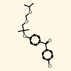 CC(C)OCOCC(C)(C)Oc1ccc(C(=O)c2ccc(Cl)cc2)cc1